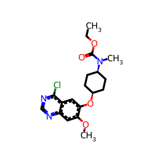 CCOC(=O)N(C)[C@H]1CC[C@@H](Oc2cc3c(Cl)ncnc3cc2OC)CC1